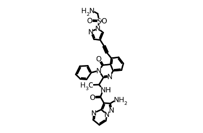 CC(NC(=O)c1c(N)nn2cccnc12)c1nc2cccc(C#Cc3cnn(S(=O)(=O)CN)c3)c2c(=O)n1-c1ccccc1